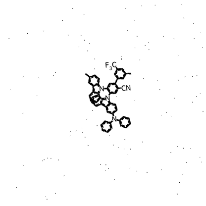 Cc1cc(-c2cc(-n3c4ccccc4c4cc(C)ccc43)c(-n3c4ccccc4c4cc(N(c5ccccc5)c5ccccc5)ccc43)cc2C#N)cc(C(F)(F)F)c1